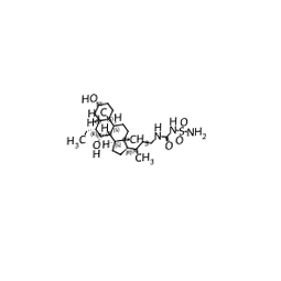 CC[C@H]1[C@@H](O)[C@@H]2[C@H](CC[C@]3(C)[C@@H]([C@H](C)CCNC(=O)NS(N)(=O)=O)CC[C@@H]23)[C@@]2(C)CC[C@@H](O)C[C@@H]12